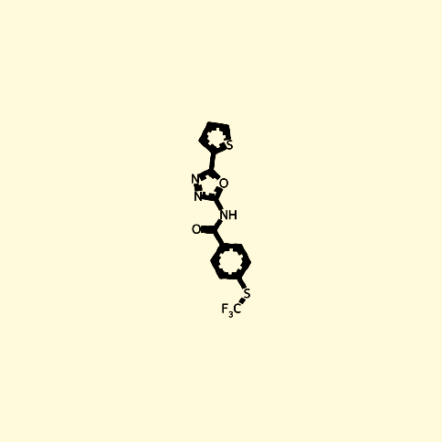 O=C(Nc1nnc(-c2cccs2)o1)c1ccc(SC(F)(F)F)cc1